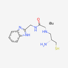 CC[C@H](C)[C@H](NC[C@@H](N)CS)C(=O)NCc1nc2ccccc2[nH]1